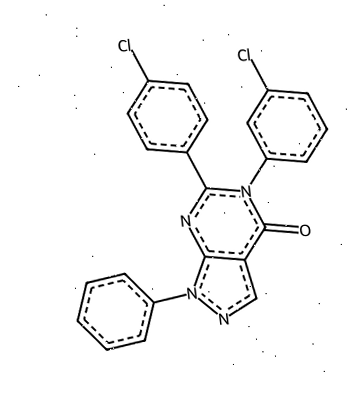 O=c1c2cnn(-c3ccccc3)c2nc(-c2ccc(Cl)cc2)n1-c1cccc(Cl)c1